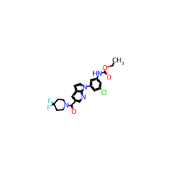 CCOC(=O)Nc1cc(Cl)cc(-n2ccc3cc(C(=O)N4CCC(F)(F)CC4)cnc32)c1